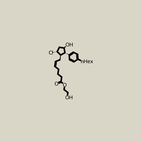 CCCCCCc1ccc([C@@H]2[C@@H](C/C=C\CCCC(=O)OCCO)[C@H](Cl)C[C@H]2O)cc1